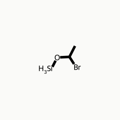 CC(Br)O[SiH3]